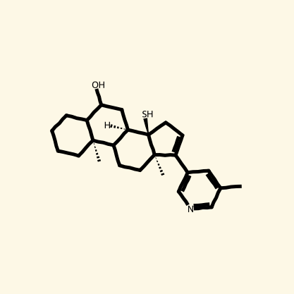 Cc1cncc(C2=CC[C@@]3(S)[C@@H]4CC(O)C5CCCC[C@]5(C)C4CC[C@]23C)c1